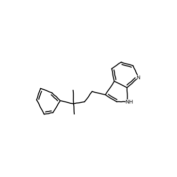 CC(C)(CCc1c[nH]c2ncccc12)c1ccccc1